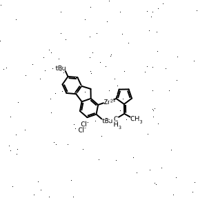 CC(C)=C1C=CC=[C]1[Zr+2][c]1c(C(C)(C)C)ccc2c1Cc1cc(C(C)(C)C)ccc1-2.[Cl-].[Cl-]